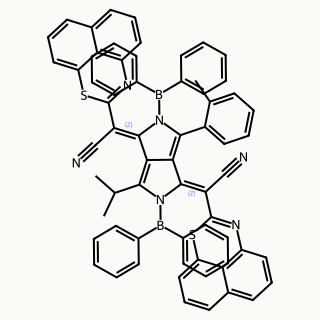 Cc1ccccc1-c1c2/c(=C(\C#N)C3=Nc4cccc5cccc(c45)S3)n(B(c3ccccc3)c3ccccc3)c(C(C)C)c2/c(=C(\C#N)C2=Nc3cccc4cccc(c34)S2)n1B(c1ccccc1)c1ccccc1